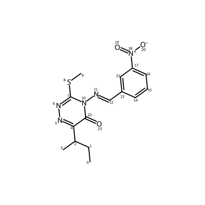 CCC(C)c1nnc(SC)n(N=Cc2cccc([N+](=O)[O-])c2)c1=O